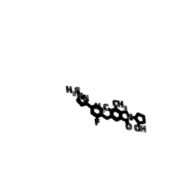 Cc1c(Cc2ccc(-c3ccn(C)n3)cc2F)cc2c(c1C)CN(C1CCCC1O)C2=O